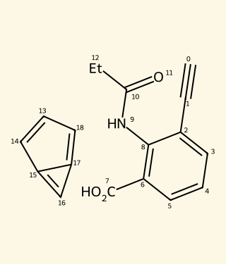 C#Cc1cccc(C(=O)O)c1NC(=O)CC.c1cc2cc-2c1